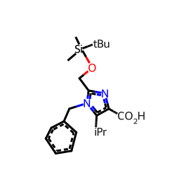 CC(C)c1c(C(=O)O)nc(CO[Si](C)(C)C(C)(C)C)n1Cc1ccccc1